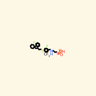 O=[PH](O)OCCCNCc1cc(C(F)(F)F)c(SCCCCC2(c3ccccc3F)CCCCC2)cc1F